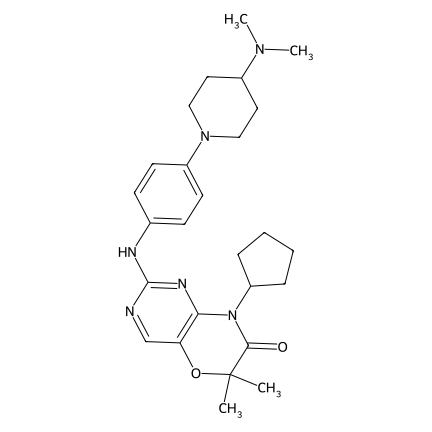 CN(C)C1CCN(c2ccc(Nc3ncc4c(n3)N(C3CCCC3)C(=O)C(C)(C)O4)cc2)CC1